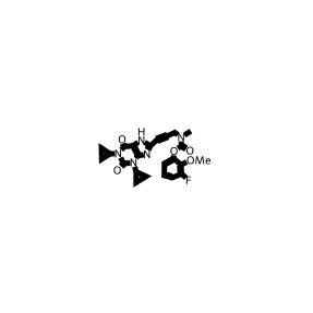 COc1c(F)cccc1OC(=O)N(C)CC#Cc1nc2c([nH]1)c(=O)n(C1CC1)c(=O)n2C1CC1